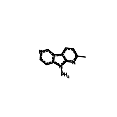 Cc1ccc2c3cnccc3n(P)c2n1